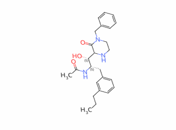 CCCc1cccc(C[C@H](NC(C)=O)[C@H](O)C2NCCN(Cc3ccccc3)C2=O)c1